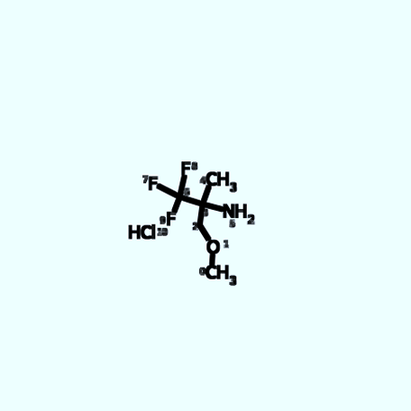 COCC(C)(N)C(F)(F)F.Cl